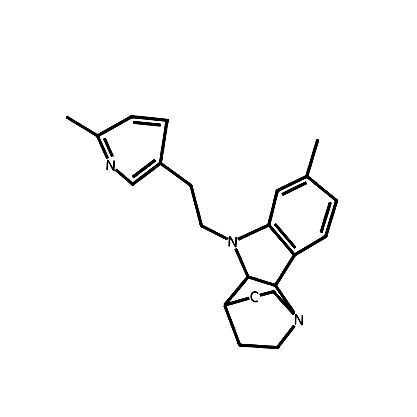 Cc1ccc2c(c1)N(CCc1ccc(C)nc1)C1C3CCN(CC3)C21